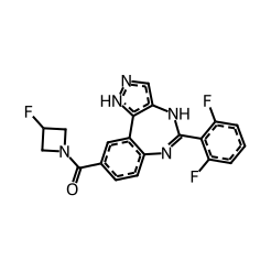 O=C(c1ccc2c(c1)-c1[nH]ncc1NC(c1c(F)cccc1F)=N2)N1CC(F)C1